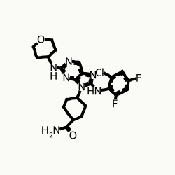 NC(=O)C1CCC(n2c(Nc3c(F)cc(F)cc3Cl)nc3cnc(NC4CCOCC4)nc32)CC1